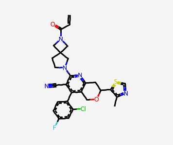 C=CC(=O)N1CC2(CCN(c3nc4c(c(-c5ccc(F)cc5Cl)c3C#N)COC(c3scnc3C)C4)C2)C1